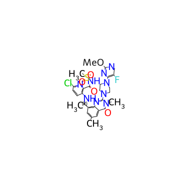 COc1ncc(F)c(N2CCN(c3nc4c([C@@H](C)Nc5ccc(Cl)nc5C(=O)NS(C)(=O)=O)cc(C)cc4c(=O)n3C)CC2)n1